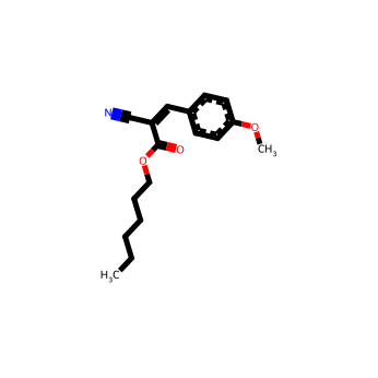 CCCCCCOC(=O)/C(C#N)=C\c1ccc(OC)cc1